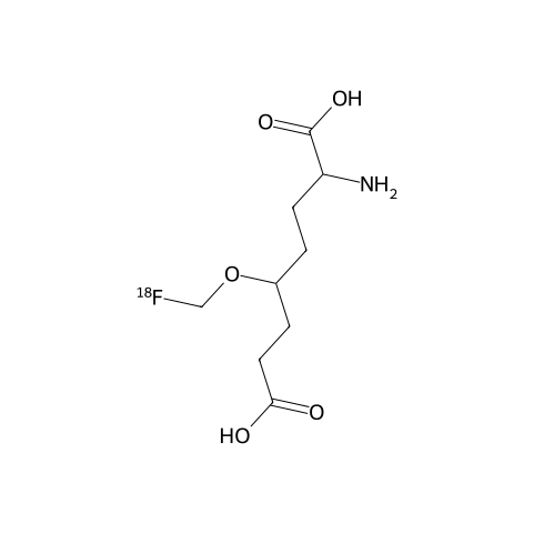 NC(CCC(CCC(=O)O)OC[18F])C(=O)O